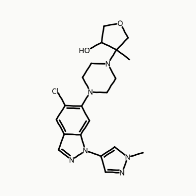 Cn1cc(-n2ncc3cc(Cl)c(N4CCN(C5(C)COCC5O)CC4)cc32)cn1